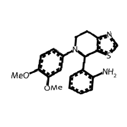 COc1ccc(N2CCc3ncsc3C2c2ccccc2N)cc1OC